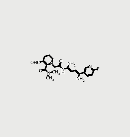 CN(C)C(=O)C1=C(C=O)CCCN1CC(=O)N/C(N)=C/C=C(\N)c1ccc(F)nc1